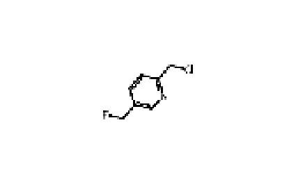 FCc1ccc(CCl)nc1